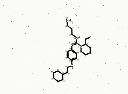 CCC1CCCCN1/C(=N\c1ccc(OCCC2CCCCC2)cc1)NCCCN